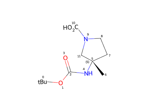 CC(C)(C)OC(=O)N[C@@]1(C)CCN(C(=O)O)C1